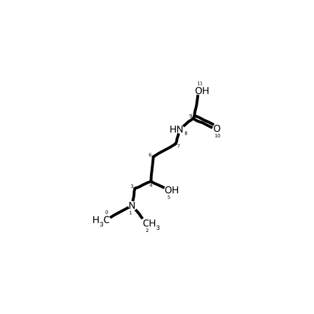 CN(C)CC(O)CCNC(=O)O